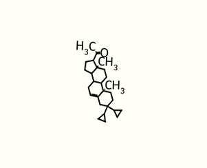 CC(=O)C1CCC2C3CC=C4CC(C5CC5)(C5CC5)CC[C@]4(C)C3CCC12C